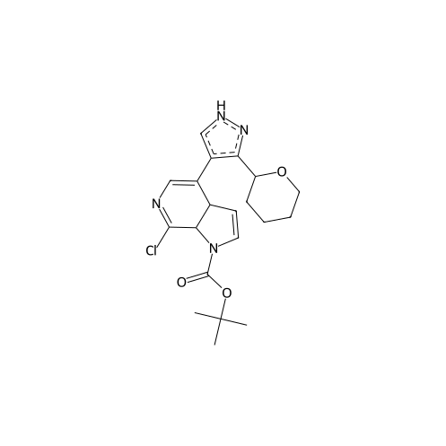 CC(C)(C)OC(=O)N1C=CC2C(c3c[nH]nc3C3CCCCO3)=CN=C(Cl)C21